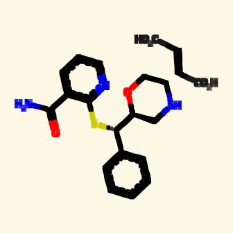 NC(=O)c1cccnc1S[C@@H](c1ccccc1)[C@@H]1CNCCO1.O=C(O)C=CC(=O)O